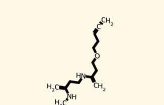 C=C=CCCOCCC(=C)NCCC(=C)NC